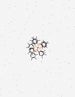 CCCCC(P(c1ccc(C)c(C)c1C)c1ccc(C)c(C)c1C)C(P(c1ccc(C)c(C)c1C)c1ccc(C)c(C)c1C)(P(c1ccc(C)c(C)c1C)c1ccc(C)c(C)c1C)P(c1ccc(C)c(C)c1C)c1ccc(C)c(C)c1C